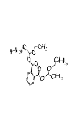 CCOC(C)OC(=O)c1ccccc1C(=O)OC(C)OCC